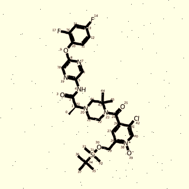 C[C@@H](C(=O)Nc1cnc(Oc2ccc(F)cc2F)cn1)N1CCN(C(=O)c2cc(CO[Si](C)(C)C(C)(C)C)[n+]([O-])cc2Cl)C(C)(C)C1